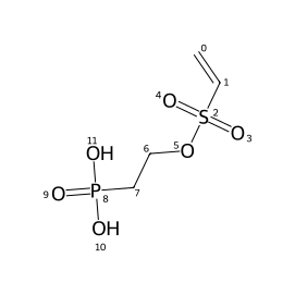 C=CS(=O)(=O)OCCP(=O)(O)O